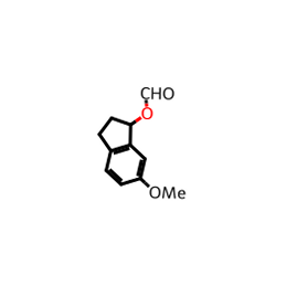 COc1ccc2c(c1)C(OC=O)CC2